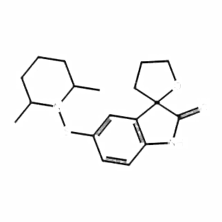 CC1CCCC(C)N1Sc1ccc2c(c1)C1(CCCO1)C(=O)N2